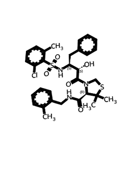 Cc1ccccc1CNC(=O)[C@H]1N(C(=O)[C@@H](O)[C@H](Cc2ccccc2)NS(=O)(=O)c2c(C)cccc2Cl)CSC1(C)C